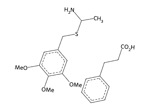 COc1cc(CSC(C)N)cc(OC)c1OC.O=C(O)CCc1ccccc1